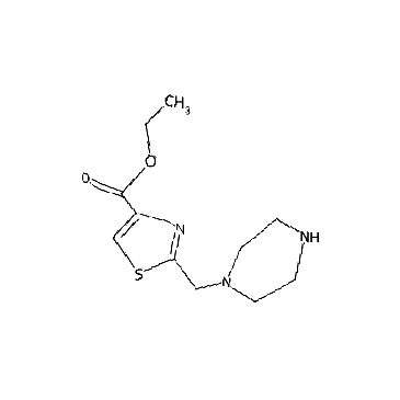 CCOC(=O)c1csc(CN2CCNCC2)n1